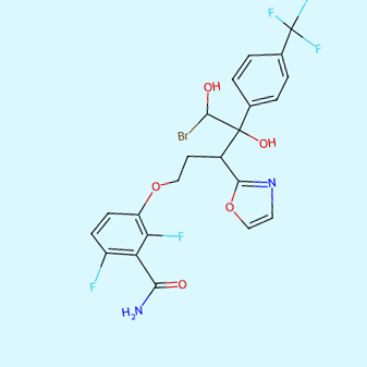 NC(=O)c1c(F)ccc(OCCC(c2ncco2)C(O)(c2ccc(C(F)(F)F)cc2)C(O)Br)c1F